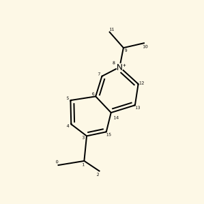 CC(C)c1ccc2c[n+](C(C)C)ccc2c1